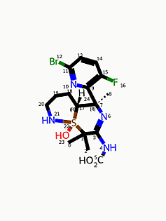 CC1(C)C(NC(=O)O)=N[C@](C)(c2nc(Br)ccc2F)[C@H]2CCCNS21O